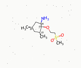 C[C@H]1C[C@@H](N)[C@@H](OCCS(C)(=O)=O)[C@@H](C)C1